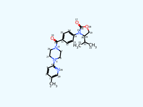 Cc1ccc(N2CCN(C(=O)c3ccc(N4C(=O)OC[C@H]4C(C)C)cc3)CC2)nc1